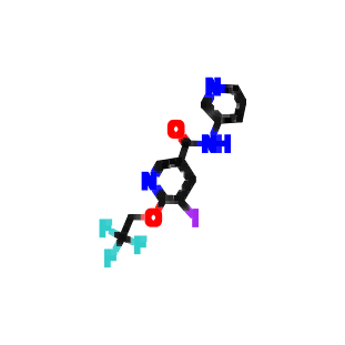 O=C(Nc1cccnc1)c1cnc(OCC(F)(F)F)c(I)c1